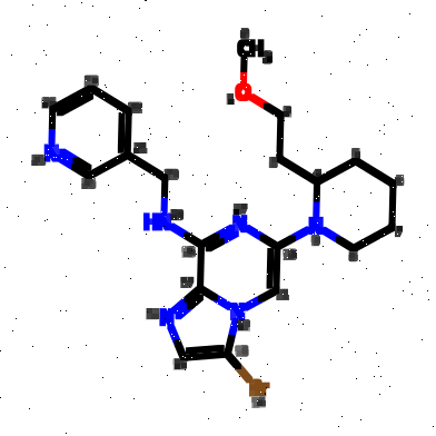 COCCC1CCCCN1c1cn2c(Br)cnc2c(NCc2cccnc2)n1